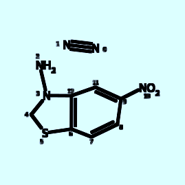 N#N.NN1CSc2ccc([N+](=O)[O-])cc21